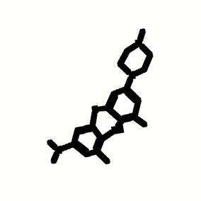 Cc1cc(N(C)C)cc2c1Nc1c(C)cc(N3CCN(C)CC3)cc1S2